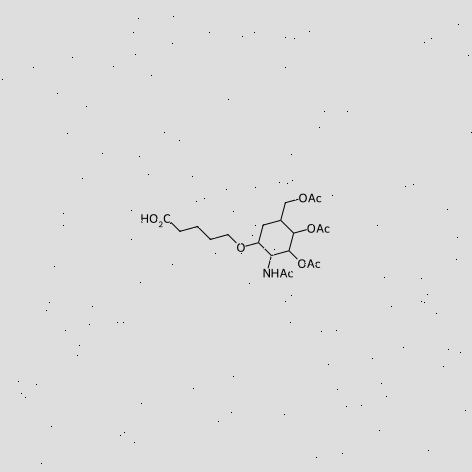 CC(=O)NC1C(OCCCCC(=O)O)CC(COC(C)=O)C(OC(C)=O)C1OC(C)=O